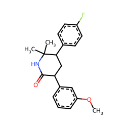 COc1cccc(C2CC(c3ccc(F)cc3)C(C)(C)NC2=O)c1